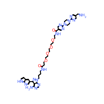 NCc1cnc(N2CCN(c3ncc(C(=O)NCCOCCOCCOCCOCCC(=O)NCCCCn4nc(-c5cnc6[nH]ccc6c5)c5c(N)ncnc54)cn3)CC2)nc1